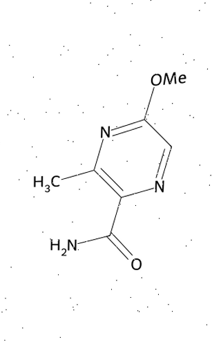 COc1cnc(C(N)=O)c(C)n1